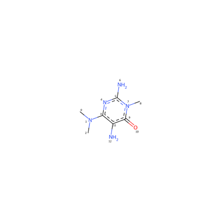 CN(C)c1nc(N)n(C)c(=O)c1N